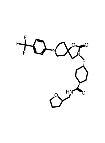 O=C1OC2(CCN(c3ccc(C(F)(F)F)cc3)CC2)CN1C[C@H]1CC[C@H](C(=O)NCC2CCCO2)CC1